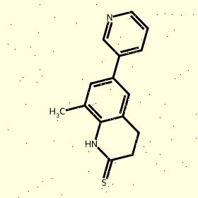 Cc1cc(-c2cccnc2)cc2c1NC(=S)CC2